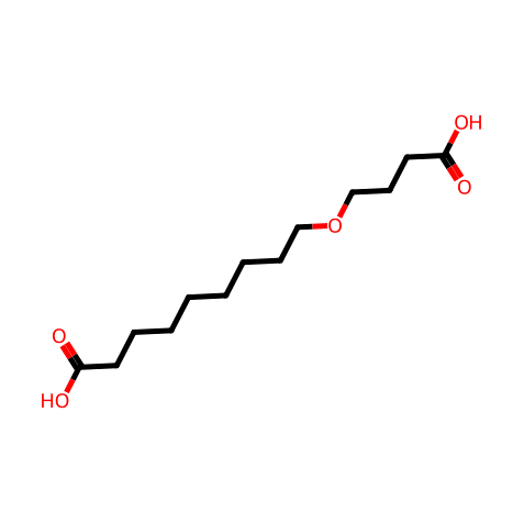 O=C(O)CCCCCCCCOCCCC(=O)O